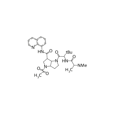 CNC(C)C(=O)NC(C(=O)N1CCC2C1C(C(=O)Nc1cccc3cccnc13)CN2S(C)(=O)=O)C(C)(C)C